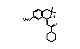 COc1ccc2c(c1)C(=CC(=O)C1CCCCC1)NC(C)(C)C2